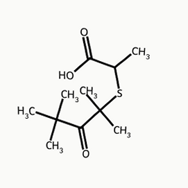 CC(SC(C)(C)C(=O)C(C)(C)C)C(=O)O